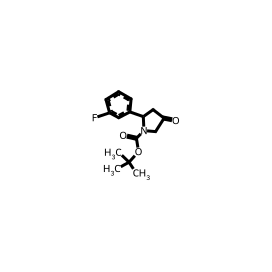 CC(C)(C)OC(=O)N1CC(=O)CC1c1cccc(F)c1